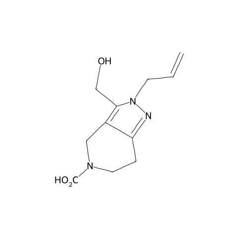 C=CCn1nc2c(c1CO)CN(C(=O)O)CC2